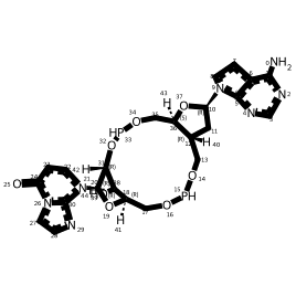 Nc1ncnc2c1ccn2[C@H]1C[C@@H]2COPOC[C@H]3O[C@@H](n4ccc(=O)n5ccnc45)[C@H](OPOC[C@H]2O1)[C@@H]3O